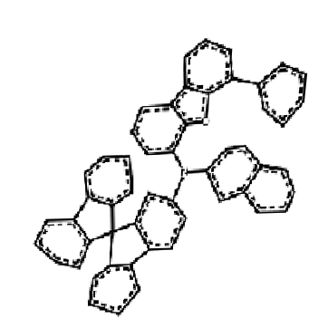 c1ccc(-c2cccc3c2oc2c(N(c4ccc5c(c4)C4(c6ccccc6-c6ccccc64)c4ccccc4-5)c4ccc5ccccc5c4)cccc23)cc1